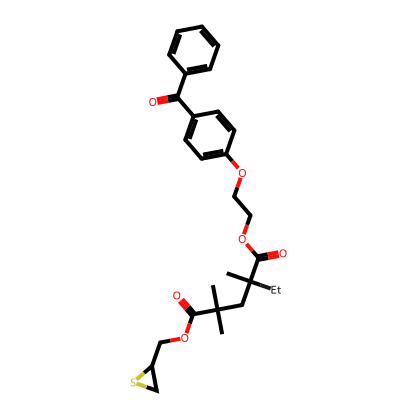 CCC(C)(CC(C)(C)C(=O)OCC1CS1)C(=O)OCCOc1ccc(C(=O)c2ccccc2)cc1